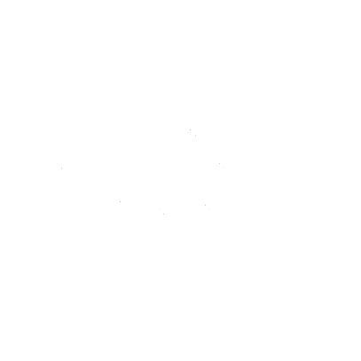 CN(C)CCNc1nc2nc(-c3ccc(F)c(Cl)c3)nc(N)c2s1